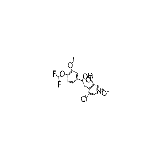 CCOc1cc(C(O)Cc2c(Cl)c[n+]([O-])cc2Cl)ccc1OC(F)F